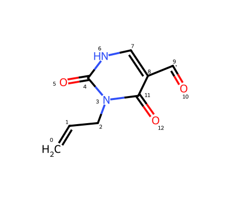 C=CCn1c(=O)[nH]cc([C]=O)c1=O